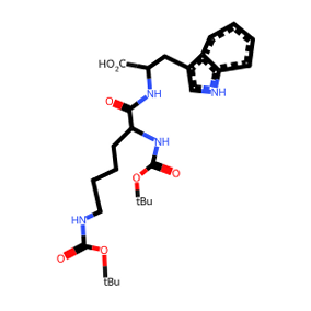 CC(C)(C)OC(=O)NCCCCC(NC(=O)OC(C)(C)C)C(=O)NC(Cc1c[nH]c2ccccc12)C(=O)O